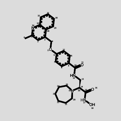 Cc1cc(COc2ccc(C(=O)NC[C@@H](C(=O)NO)N3CCCCCC3)cc2)c2ccccc2n1